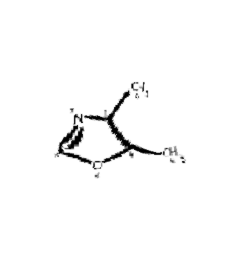 CC1N=COC1C